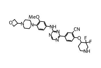 COc1cc(Nc2ncnc(-c3ccc(OC4CCNCC4(F)F)c(C#N)c3)n2)ccc1N1CCN(C2COC2)CC1